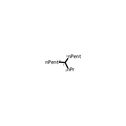 CCCC[CH]C(CCC)CCCCC